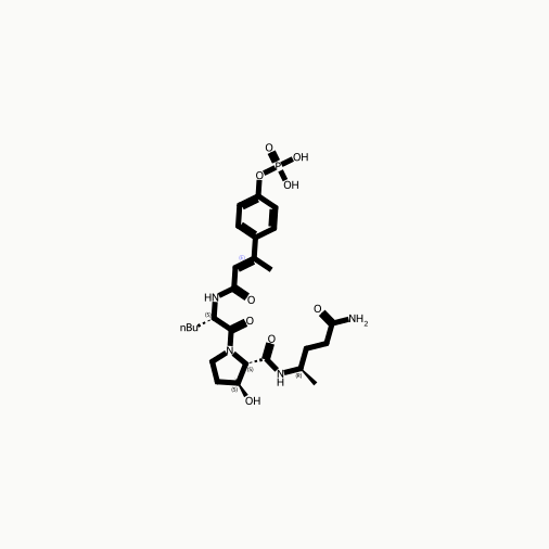 CCCC[C@H](NC(=O)/C=C(\C)c1ccc(OP(=O)(O)O)cc1)C(=O)N1CC[C@H](O)[C@H]1C(=O)N[C@H](C)CCC(N)=O